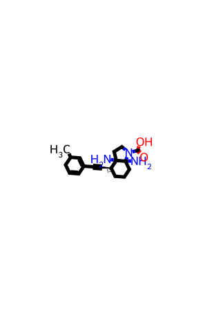 CC1C=C(C#C[C@@H]2CCCC3(N)N(C(=O)O)CCC23N)C=CC1